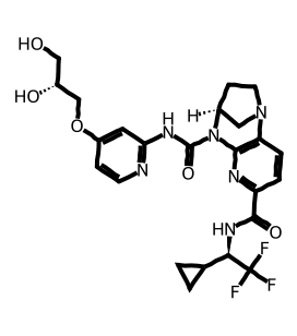 O=C(N[C@H](C1CC1)C(F)(F)F)c1ccc2c(n1)N(C(=O)Nc1cc(OC[C@H](O)CO)ccn1)[C@H]1CCN2C1